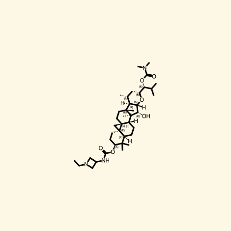 CCN1CC(NC(=O)O[C@H]2CC[C@]34C[C@]35CC[C@]3(C)[C@@H]6[C@H](O[C@@H]([C@H](OC(=O)N(C)C)C(C)C)C[C@H]6C)[C@H](O)[C@@]3(C)[C@@H]5CC[C@H]4C2(C)C)C1